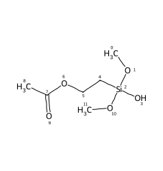 CO[Si](O)(CCOC(C)=O)OC